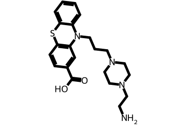 NCCN1CCN(CCCN2c3ccccc3Sc3ccc(C(=O)O)cc32)CC1